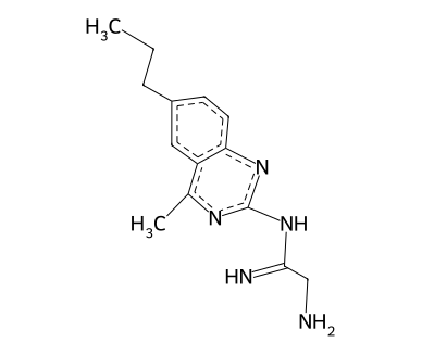 CCCc1ccc2nc(NC(=N)CN)nc(C)c2c1